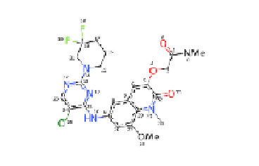 CNC(=O)COc1cc2cc(Nc3nc(N4CCCC(F)(F)C4)ncc3Cl)cc(OC)c2n(C)c1=O